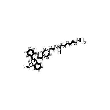 CCOc1ccccc1-n1c(CN2CCN(C/C=N/NCCCCCCN)CC2)nc2ccccc2c1=O